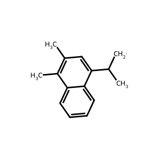 [CH2]C(C)c1cc(C)c(C)c2ccccc12